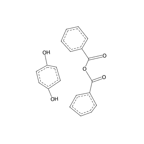 O=C(OC(=O)c1ccccc1)c1ccccc1.Oc1ccc(O)cc1